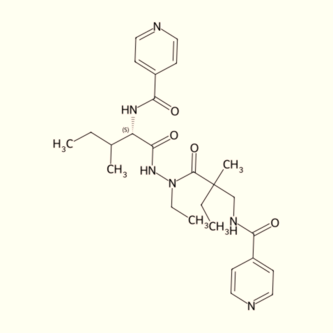 CCC(C)[C@H](NC(=O)c1ccncc1)C(=O)NN(CC)C(=O)C(C)(CC)CNC(=O)c1ccncc1